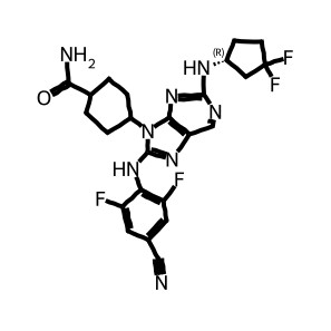 N#Cc1cc(F)c(Nc2nc3cnc(N[C@@H]4CCC(F)(F)C4)nc3n2C2CCC(C(N)=O)CC2)c(F)c1